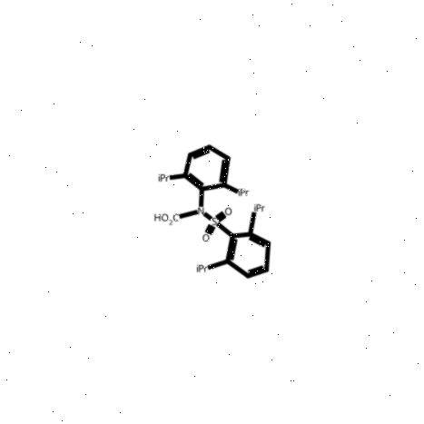 CC(C)c1cccc(C(C)C)c1N(C(=O)O)S(=O)(=O)c1c(C(C)C)cccc1C(C)C